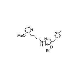 CCOc1nc(NCCCCc2ncccc2OC)ncc1Cc1ccc(C)nc1